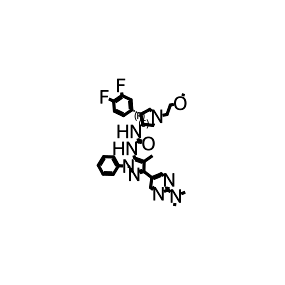 COCCN1C[C@@H](NC(=O)Nc2c(C)c(-c3cnc(N(C)C)nc3)nn2-c2ccccc2)[C@H](c2ccc(F)c(F)c2)C1